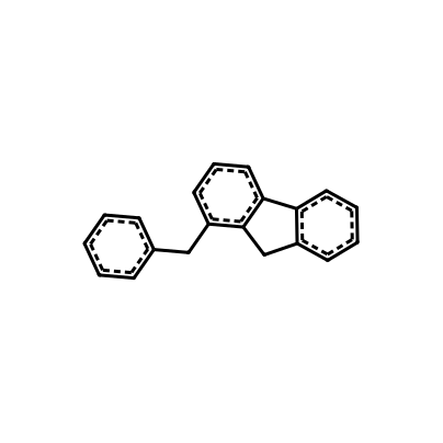 c1ccc(Cc2cccc3c2Cc2ccccc2-3)cc1